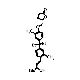 CCC(CC)(c1ccc(C=CC(O)C(C)(C)C)c(C)c1)c1ccc(OC[C@@H]2CCC(=O)O2)c(C)c1